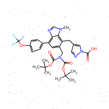 Cn1cnc2c(-c3ccc(OC(F)(F)F)cc3)cc(CN(C(=O)OC(C)(C)C)C(=O)OC(C)(C)C)c(Cc3cnn(C(=O)O)c3)c21